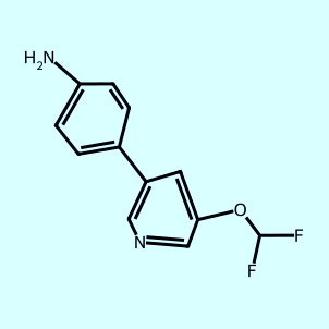 Nc1ccc(-c2cncc(OC(F)F)c2)cc1